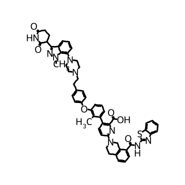 Cc1c(Oc2ccc(CCN3CCN(c4cccc5c(C6CCC(=O)NC6=O)nn(C)c45)CC3)cc2)cccc1-c1ccc(N2CCc3cccc(C(=O)Nc4nc5ccccc5s4)c3C2)nc1C(=O)O